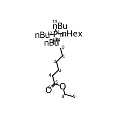 CCCCCC(=O)OCC.CCCCCC[PH](CCCC)(CCCC)CCCC